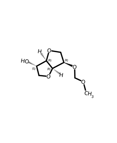 COCO[C@@H]1CO[C@H]2[C@@H]1OC[C@@H]2O